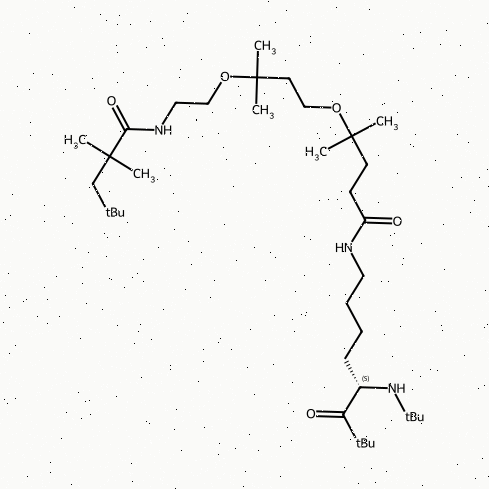 CC(C)(C)CC(C)(C)C(=O)NCCOC(C)(C)CCOC(C)(C)CCC(=O)NCCCC[C@H](NC(C)(C)C)C(=O)C(C)(C)C